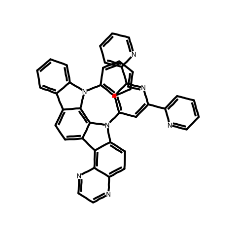 c1ccc(-n2c3ccccc3c3ccc4c5c6nccnc6ccc5n(-c5cc(-c6ccccn6)nc(-c6ccccn6)c5)c4c32)cc1